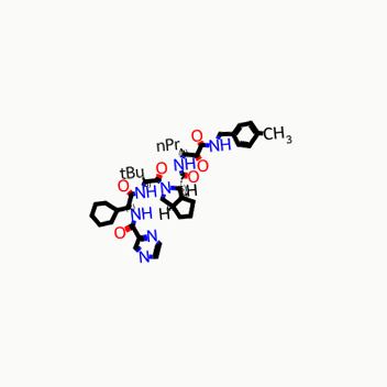 CCC[C@@H](NC(=O)[C@@H]1[C@H]2CCC[C@H]2CN1C(=O)[C@@H](NC(=O)[C@H](NC(=O)c1cnccn1)C1CCCCC1)C(C)(C)C)C(=O)C(=O)NCc1ccc(C)cc1